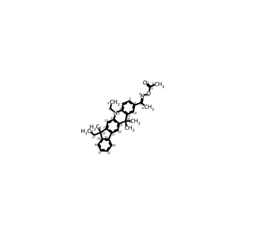 CCN1c2ccc(/C(C)=N/OC(C)=O)cc2C(C)(C)c2cc3c(cc21)C(C)(CC)c1ccccc1-3